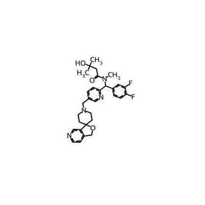 CN(C(=O)CC(C)(C)O)C(c1ccc(F)c(F)c1)c1ccc(CN2CCC3(CC2)OCc2ccncc23)cn1